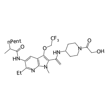 C=C(NC1CCN(C(=O)CO)CC1)c1c(OCC(F)(F)F)c2cc(NC(=O)C(C)CCCCC)c(CC)nc2n1C